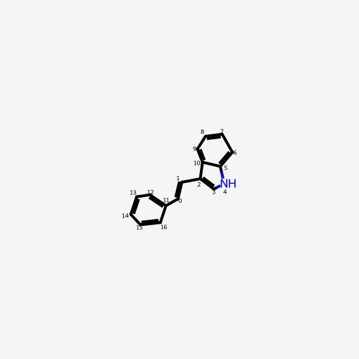 C(=Cc1c[nH]c2ccccc12)c1ccccc1